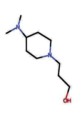 CN(C)C1CCN(CCCO)CC1